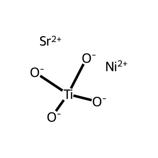 [Ni+2].[O-][Ti]([O-])([O-])[O-].[Sr+2]